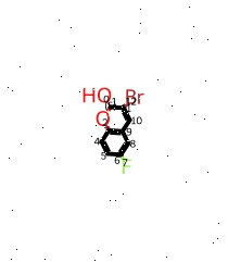 O[C@H]1Oc2ccc(F)cc2C=C1Br